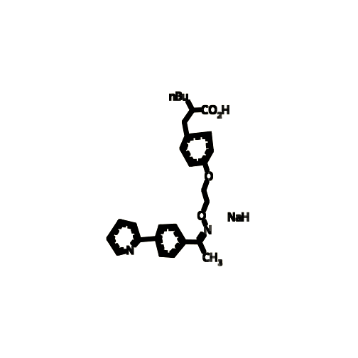 CCCCC(Cc1ccc(OCCON=C(C)c2ccc(-c3ccccn3)cc2)cc1)C(=O)O.[NaH]